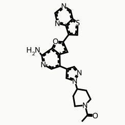 CC(=O)N1CCC(n2cc(-c3cnc(N)c4oc(-c5csc6cncnc56)cc34)cn2)CC1